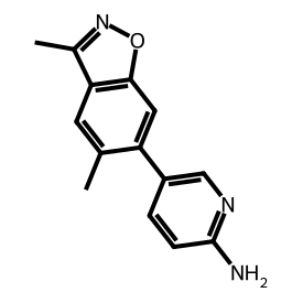 Cc1cc2c(C)noc2cc1-c1ccc(N)nc1